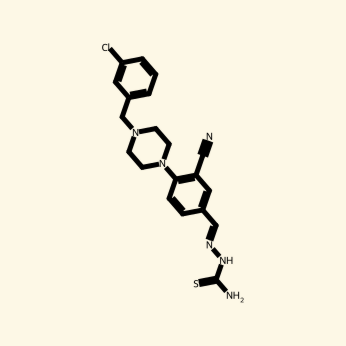 N#Cc1cc(C=NNC(N)=S)ccc1N1CCN(Cc2cccc(Cl)c2)CC1